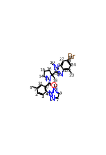 Cc1ccc(-n2nccn2)c(C(=O)N2CCCC2(C)c2nc3c(C)cc(Br)cc3n2C)c1